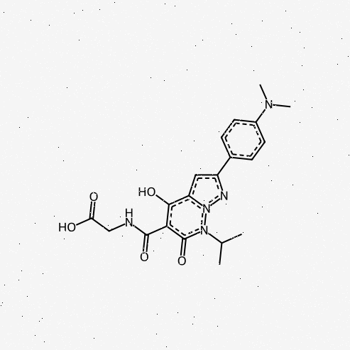 CC(C)n1c(=O)c(C(=O)NCC(=O)O)c(O)c2cc(-c3ccc(N(C)C)cc3)nn21